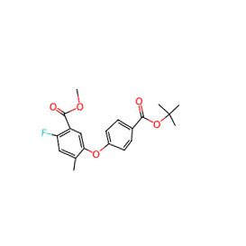 COC(=O)c1cc(Oc2ccc(C(=O)OC(C)(C)C)cc2)c(C)cc1F